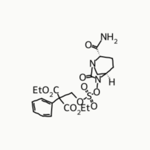 CCOC(=O)C(COS(=O)(=O)ON1C(=O)N2C[C@H]1CC[C@H]2C(N)=O)(C(=O)OCC)c1ccccc1